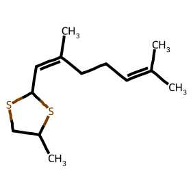 CC(C)=CCCC(C)=CC1SCC(C)S1